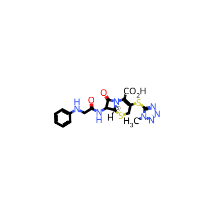 Cn1nnnc1SC1=C(C(=O)O)N2C(=O)C(NC(=O)CNc3ccccc3)[C@@H]2SC1